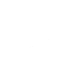 [Cu].[Fe].[O-2].[O-2].[Ti+4]